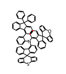 c1ccc(C2(c3ccccc3)c3ccccc3-c3c(-c4ccccc4N(c4cccc5c4-c4ccccc4C54c5ccccc5Oc5ccccc54)c4cccc5c4-c4ccccc4C54c5ccccc5Sc5ccccc54)cccc32)cc1